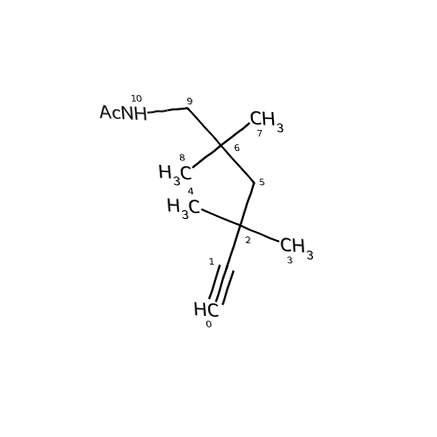 C#CC(C)(C)CC(C)(C)CNC(C)=O